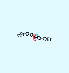 CCC[C@H]1CC[C@H](c2ccc(OC(=O)c3ccc([C@H]4CC[C@H](CC)CC4)cc3F)cc2)CC1